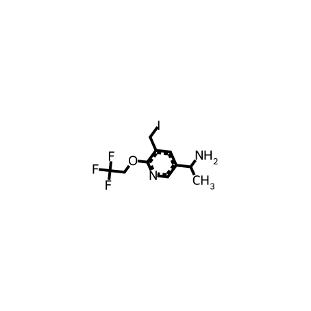 CC(N)c1cnc(OCC(F)(F)F)c(CI)c1